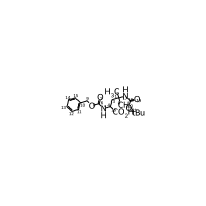 CC(C)(CC(NC(=O)OCc1ccccc1)C(=O)O)NC(=O)OC(C)(C)C